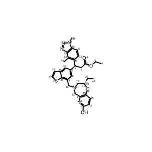 CCOC(=O)CC(c1cc(CN2Cc3nc(O)ccc3O[C@H](CC)C2)c2sccc2c1)c1ccc2c(nnn2C)c1C